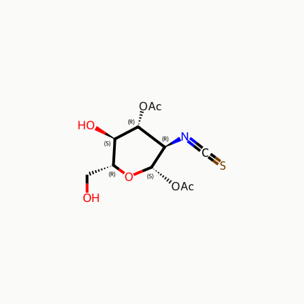 CC(=O)O[C@@H]1O[C@H](CO)[C@@H](O)[C@H](OC(C)=O)[C@H]1N=C=S